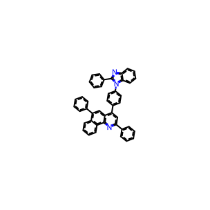 c1ccc(-c2cc(-c3ccc(-n4c(-c5ccccc5)nc5ccccc54)cc3)c3cc(-c4ccccc4)c4ccccc4c3n2)cc1